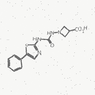 O=C(Nc1ncc(-c2ccccc2)s1)NN1CC(C(=O)O)C1